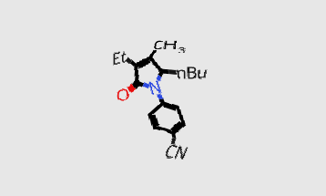 CCCCC1C(C)=C(CC)C(=O)N1c1ccc(C#N)cc1